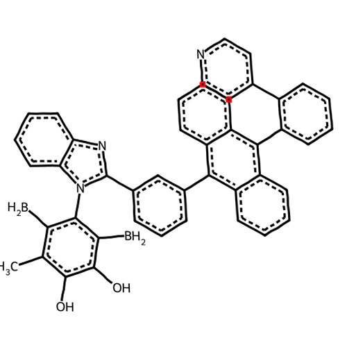 Bc1c(C)c(O)c(O)c(B)c1-n1c(-c2cccc(-c3c4ccccc4c(-c4ccccc4-c4ccncc4)c4ccccc34)c2)nc2ccccc21